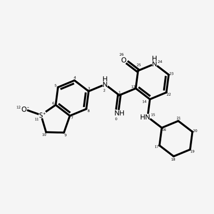 N=C(Nc1ccc2c(c1)CC[S+]2[O-])c1c(NC2CCCCC2)cc[nH]c1=O